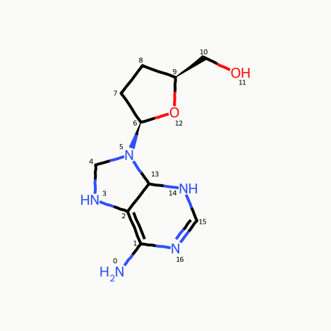 NC1=C2NCN([C@H]3CC[C@@H](CO)O3)C2NC=N1